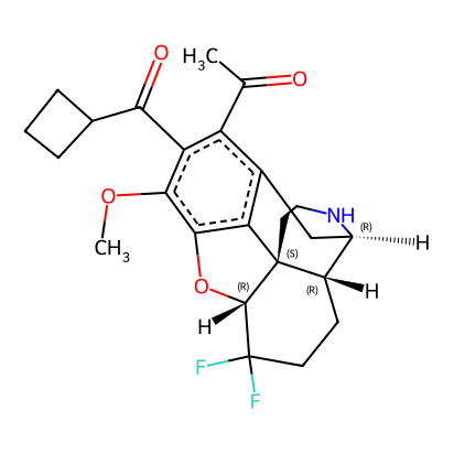 COc1c2c3c(c(C(C)=O)c1C(=O)C1CCC1)C[C@H]1NCC[C@]34[C@H]1CCC(F)(F)[C@@H]4O2